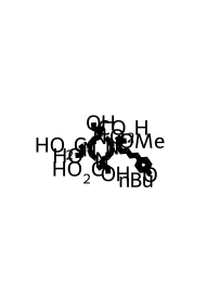 CCCCOc1ccc(CCCCC(C(=O)OC)N2CCN(C(CO)C(=O)O)CCN(C(CO)C(=O)O)CCN(C(CO)C(=O)O)CC2)cc1